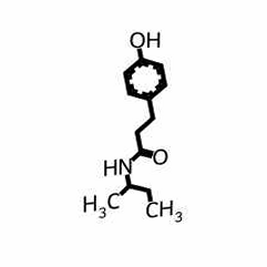 CCC(C)NC(=O)CCc1ccc(O)cc1